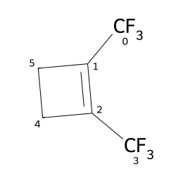 FC(F)(F)C1=C(C(F)(F)F)CC1